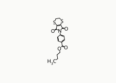 CCCCOC(=O)c1ccc(N2C(=O)C3=C(SCCS3)C2=O)cc1